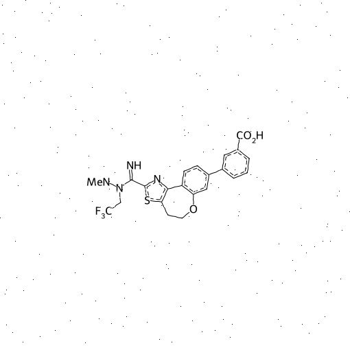 CNN(CC(F)(F)F)C(=N)c1nc2c(s1)CCOc1cc(-c3cccc(C(=O)O)c3)ccc1-2